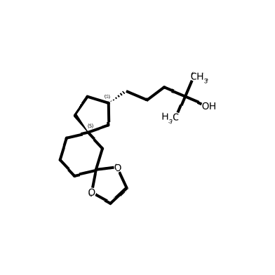 CC(C)(O)CCC[C@H]1CC[C@@]2(CCCC3(C2)OCCO3)C1